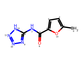 Bc1ccc(C(=O)Nc2nnn[nH]2)o1